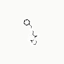 O=C1OCCN1C(=O)[C@@H](F)COCc1ccccc1